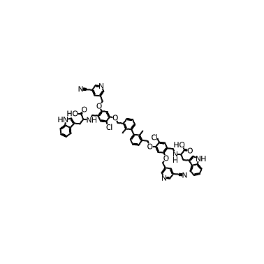 Cc1c(COc2cc(OCc3cncc(C#N)c3)c(CNC(Cc3c[nH]c4ccccc34)C(=O)O)cc2Cl)cccc1-c1cccc(COc2cc(OCc3cncc(C#N)c3)c(CNC(Cc3c[nH]c4ccccc34)C(=O)O)cc2Cl)c1C